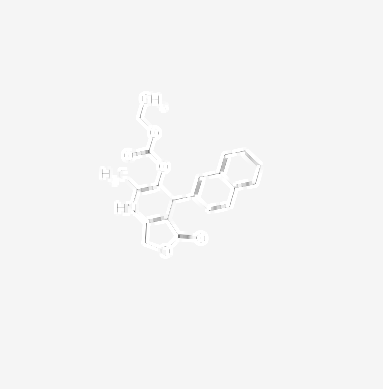 CCOC(=O)OC1=C(C)NC2=C(C(=O)OC2)C1c1ccc2ccccc2c1